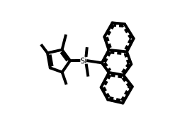 CC1=CC(C)C([Si](C)(C)c2c3ccccc3cc3ccccc23)=C1C